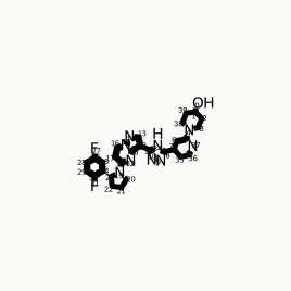 OC1CCN(C2=CC(c3nnc(-c4cnn5ccc(N6CCC[C@@H]6c6cc(F)ccc6F)nc45)[nH]3)CC=N2)CC1